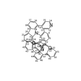 O=C1c2cccc(-n3c4c(-c5ccncc5)cccc4c4cccc(-c5ccncc5)c43)c2C(=O)N1c1c(-c2ccccc2)cccc1-c1ccccc1